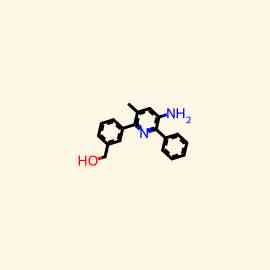 Cc1cc(N)c(-c2ccccc2)nc1-c1cccc(CO)c1